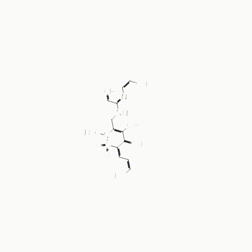 C=C/C(=N\C=C/C)NCC1=C(O)C(=C)/C(=C\C=C/C)S(=O)(=O)N1C